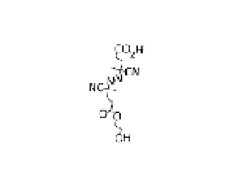 CC(C#N)(CCC(=O)O)/N=N/C(C)(C#N)CCC(=O)OCCO